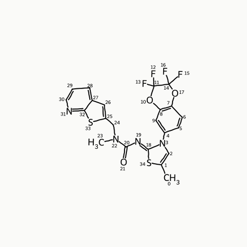 Cc1cn(-c2ccc3c(c2)OC(F)(F)C(F)(F)O3)c(=NC(=O)N(C)Cc2cc3cccnc3s2)s1